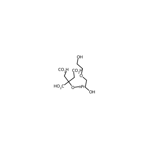 CCCOC(CC(=O)O)(CC(=O)O)C(=O)O.OCCOCCO